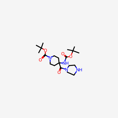 CC(C)(C)OC(=O)NC1(C(=O)N2CCNCC2)CCN(C(=O)OC(C)(C)C)CC1